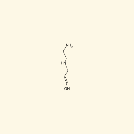 NCCNCC=CO